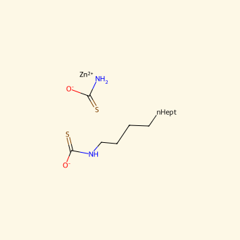 CCCCCCCCCCCNC([O-])=S.NC([O-])=S.[Zn+2]